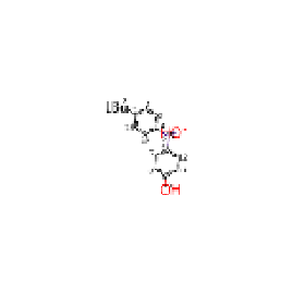 CC(C)(C)c1ccc([I+]c2ccc(O)cc2)cc1.[OH-]